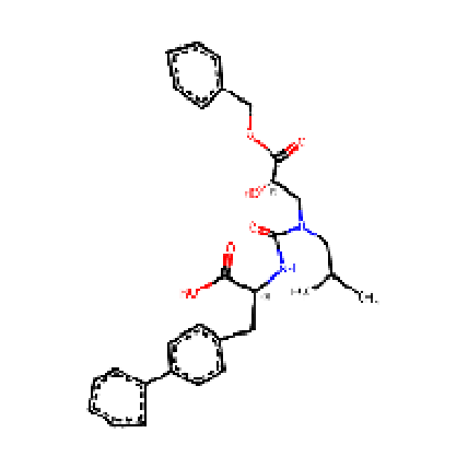 CC(C)CN(C[C@H](O)C(=O)OCc1ccccc1)C(=O)N[C@@H](Cc1ccc(-c2ccccc2)cc1)C(=O)O